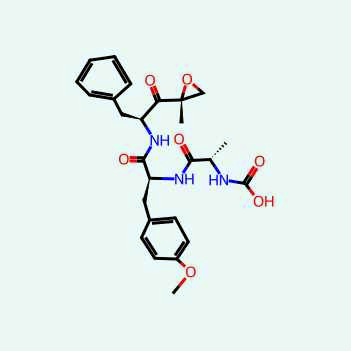 COc1ccc(C[C@H](NC(=O)[C@H](C)NC(=O)O)C(=O)N[C@@H](Cc2ccccc2)C(=O)[C@@]2(C)CO2)cc1